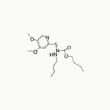 CCCCNN(Sc1cc(OC)c(OC)cn1)C(=O)OCCCC